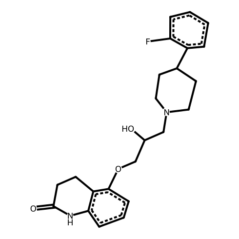 O=C1CCc2c(cccc2OCC(O)CN2CCC(c3ccccc3F)CC2)N1